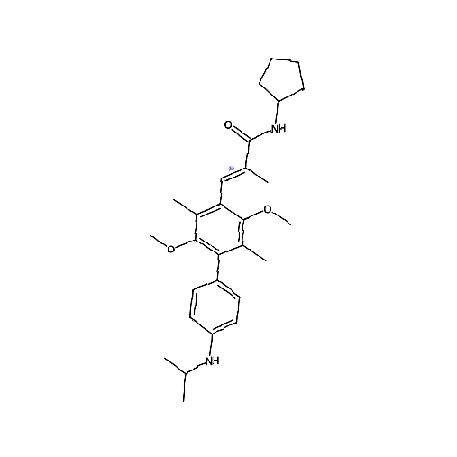 COc1c(C)c(-c2ccc(NC(C)C)cc2)c(OC)c(C)c1/C=C(\C)C(=O)NC1CCCC1